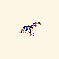 CC(C)CC[C@@](CNCS(C)(=O)=O)(C(=O)O)C(=O)N1CCN(S(C)(=O)=O)CC1.NO